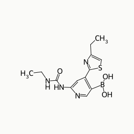 CCNC(=O)Nc1cc(-c2nc(CC)cs2)c(B(O)O)cn1